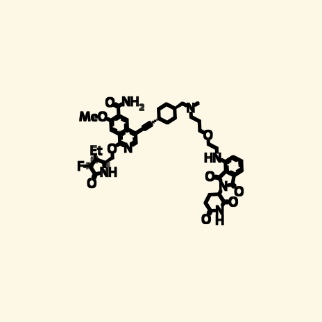 CC[C@@H]1[C@H](F)C(=O)N[C@@H]1COc1ncc(C#C[C@H]2CC[C@H](CN(C)CCCOCCNc3cccc4c3C(=O)N(C3CCC(=O)NC3=O)C4=O)CC2)c2cc(C(N)=O)c(OC)cc12